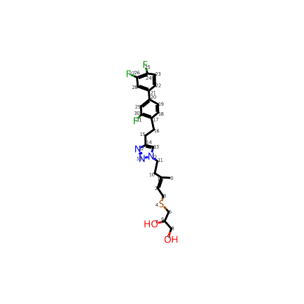 C/C(=C\CSCC(O)CO)CCn1cc(CCc2ccc(-c3ccc(F)c(F)c3)cc2F)nn1